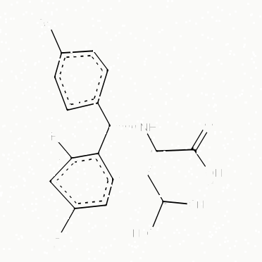 CC(C)C[C@H](N[C@@H](c1ccc(Br)cc1)c1ccc(F)cc1F)C(=O)O